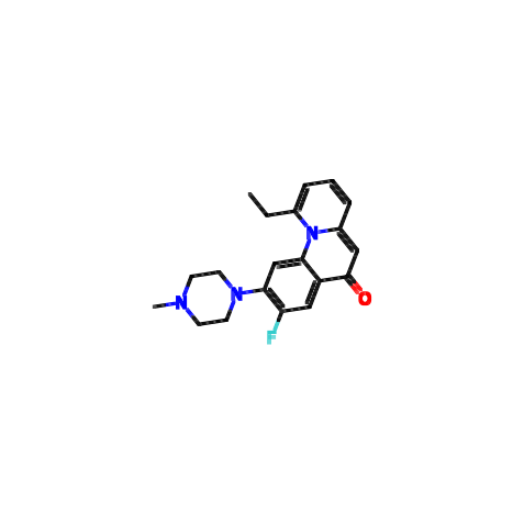 CCc1cccc2cc(=O)c3cc(F)c(N4CCN(C)CC4)cc3n12